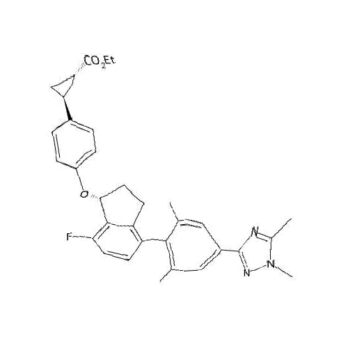 CCOC(=O)[C@H]1C[C@@H]1c1ccc(O[C@@H]2CCc3c(-c4c(C)cc(-c5nc(C)n(C)n5)cc4C)ccc(F)c32)cc1